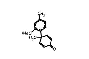 COc1cc(C)ccc1C1(C)C=CC(=O)C=C1